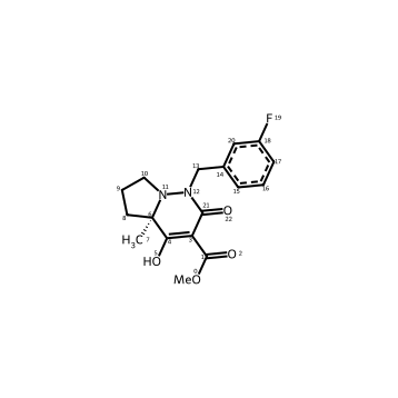 COC(=O)C1=C(O)[C@@]2(C)CCCN2N(Cc2cccc(F)c2)C1=O